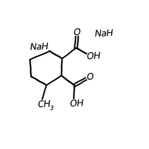 CC1CCCC(C(=O)O)C1C(=O)O.[NaH].[NaH]